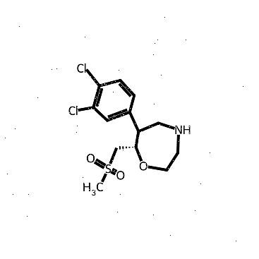 CS(=O)(=O)C[C@H]1OCCNCC1c1ccc(Cl)c(Cl)c1